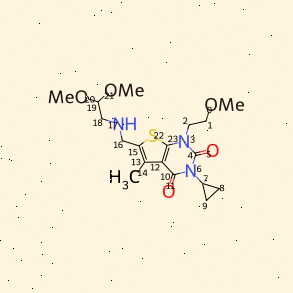 COCCn1c(=O)n(C2CC2)c(=O)c2c(C)c(CNCC(OC)OC)sc21